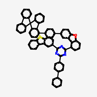 c1ccc(-c2ccc(-c3nc(-c4ccc5sc6ccccc6c5c4)nc(-c4cccc5oc6ccc(-c7ccc(-c8cccc9c8-c8ccccc8C98c9ccccc9-c9ccccc98)cc7)cc6c45)n3)cc2)cc1